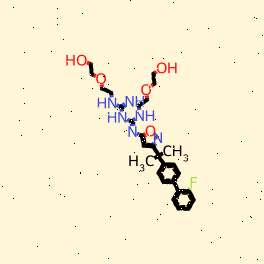 CC(C)(c1ccc(-c2ccccc2F)cc1)c1cc(/N=C(\NCCOCCO)NC(=N)NCCOCCO)on1